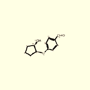 O=Cc1ccc(O[C@H]2CCC[C@H]2O)cc1